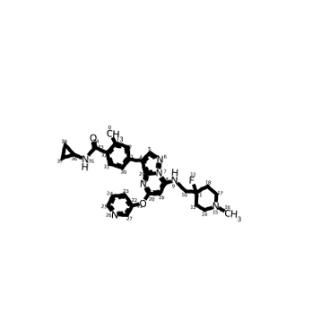 Cc1cc(-c2cnn3c(NCC4(F)CCN(C)CC4)cc(Oc4cccnc4)nc23)ccc1C(=O)NC1CC1